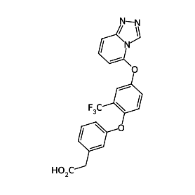 O=C(O)Cc1cccc(Oc2ccc(Oc3cccc4nncn34)cc2C(F)(F)F)c1